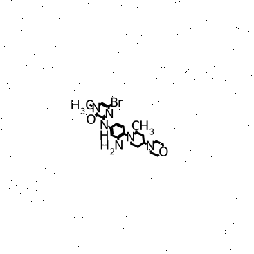 CC1CC(N2CCOCC2)CCN1c1ccc(Nc2nc(Br)cn(C)c2=O)cc1N